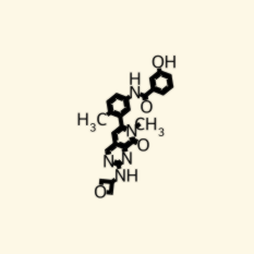 Cc1ccc(NC(=O)c2cccc(O)c2)cc1-c1cc2cnc(NC3COC3)nc2c(=O)n1C